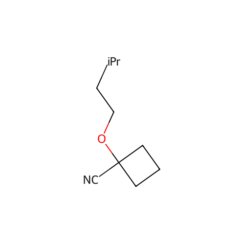 CC(C)CCOC1(C#N)CCC1